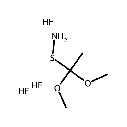 COC(C)(OC)SN.F.F.F